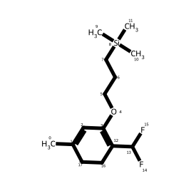 CC1=CC(OCCC[Si](C)(C)C)=C(C(F)F)C[CH]1